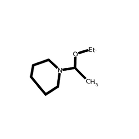 C[CH]OC(C)N1CCCCC1